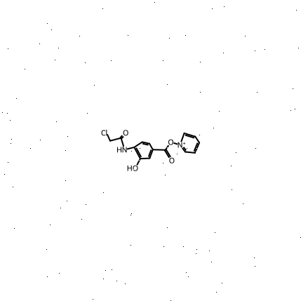 O=C(CCl)Nc1ccc(C(=O)O[n+]2ccccc2)cc1O